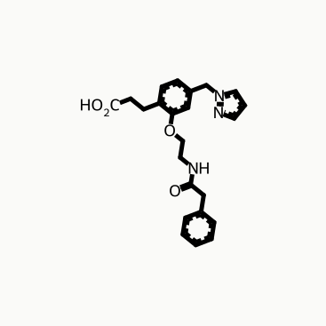 O=C(O)CCc1ccc(Cn2cccn2)cc1OCCNC(=O)Cc1ccccc1